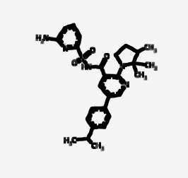 CC(C)c1ccc(-c2cnc(N3CCC(C)C3(C)C)c(C(=O)NS(=O)(=O)c3cccc(N)n3)c2)cc1